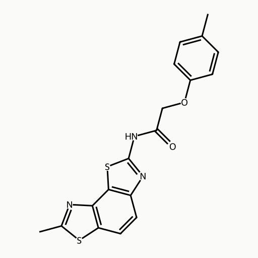 Cc1ccc(OCC(=O)Nc2nc3ccc4sc(C)nc4c3s2)cc1